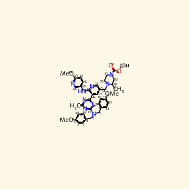 COc1ccc(CN(Cc2ccc(OC)cc2)c2nc(C)nc(-c3cc(CN4CCN(C(=O)OC(C)(C)C)CC4C)cnc3Nc3ccc(OC)nc3)n2)cc1